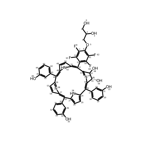 OCC(O)COc1c(F)c(F)c(-c2c3nc(c(-c4cccc(O)c4)c4ccc([nH]4)c(-c4cccc(O)c4)c4nc(c(-c5cccc(O)c5)c5ccc2[nH]5)C=C4)[C@@H](O)C3O)c(F)c1F